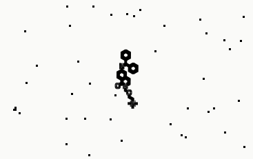 C[Si](C)(C)CCOCn1ccc2cc(N=C(c3ccccc3)c3ccccc3)ccc2c1=O